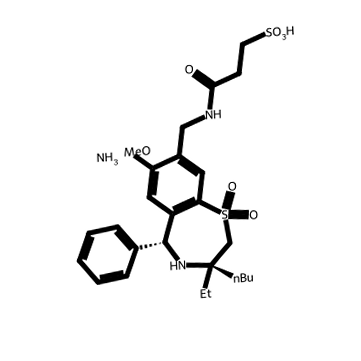 CCCC[C@]1(CC)CS(=O)(=O)c2cc(CNC(=O)CCS(=O)(=O)O)c(OC)cc2[C@@H](c2ccccc2)N1.N